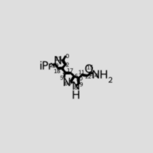 Cc1cc(-c2cnc3[nH]cc(/C=C/C(N)=O)c3c2)cc(C(C)C)n1